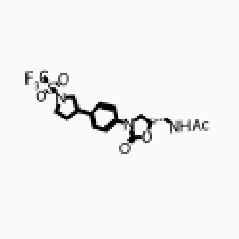 CC(=O)NC[C@H]1CN(c2ccc(C3CCN(S(=O)(=O)C(F)(F)F)C3)cc2)C(=O)O1